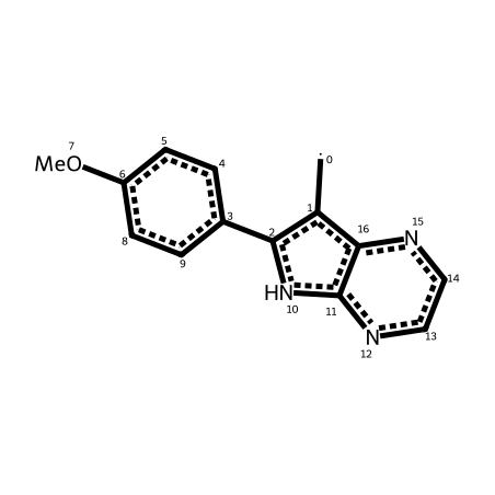 [CH2]c1c(-c2ccc(OC)cc2)[nH]c2nccnc12